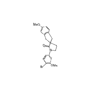 COc1ccc2c(c1)CC1(CCN(c3ccc(Br)c(OC)n3)C1=O)C2